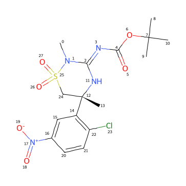 CN1/C(=N/C(=O)OC(C)(C)C)N[C@](C)(c2cc([N+](=O)[O-])ccc2Cl)CS1(=O)=O